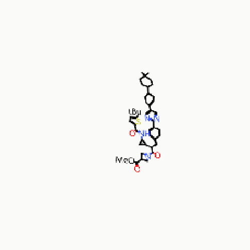 COC(=O)C1CN(C(=O)C(Cc2ccc(-c3ncc(C4=CCC(C5CCC(C)(C)CC5)CC4)cn3)cc2)C2CC2NC(=O)c2ccc(C(C)(C)C)s2)C1